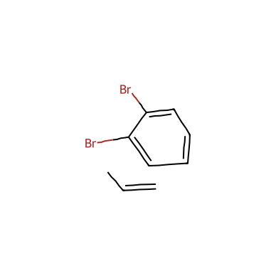 Brc1ccccc1Br.C=CC